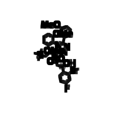 COc1cccc(-c2nnc(N(CC[Si](C)(C)C)S(=O)(=O)C[C@H](O)c3ccc(F)cc3Br)n2-c2c(OC)cccc2OC)n1